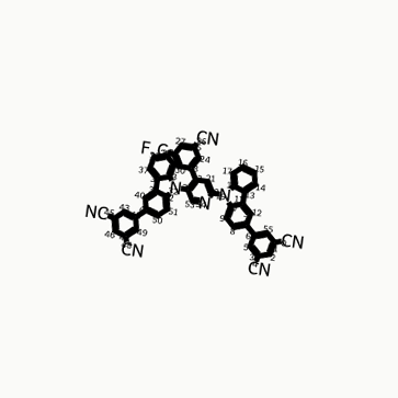 N#Cc1cc(C#N)cc(-c2ccc3c(c2)c2ccccc2n3-c2cc(-c3cc(C#N)cc(C(F)(F)F)c3)c(-n3c4ccccc4c4cc(-c5cc(C#N)cc(C#N)c5)ccc43)cn2)c1